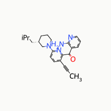 CC#Cc1ccc(N2CCC[C@@H](CC(C)C)C2)nc1C(=O)c1cccnc1N